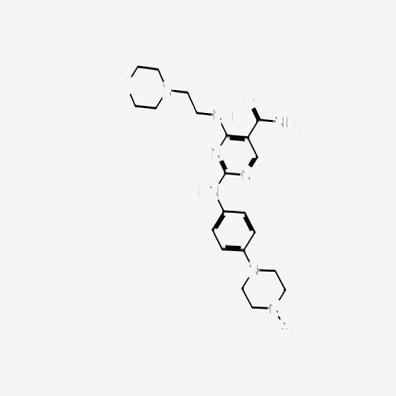 CC(=O)N1CCN(c2ccc(Nc3ncc(C(N)=O)c(NCCN4CCOCC4)n3)cc2)CC1